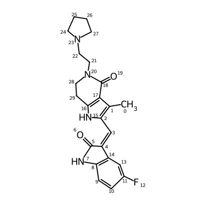 Cc1c(C=C2C(=O)Nc3ccc(F)cc32)[nH]c2c1C(=O)N(CCN1CCCC1)CC2